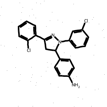 Nc1ccc(C2CC(c3ccccc3Cl)=NN2c2cccc(Cl)c2)cc1